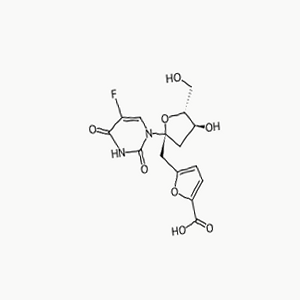 O=C(O)c1ccc(C[C@]2(n3cc(F)c(=O)[nH]c3=O)C[C@H](O)[C@@H](CO)O2)o1